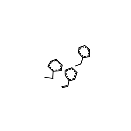 C=Cc1ccccc1.CCc1ccccc1.CCc1ccccc1